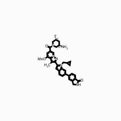 COc1cc(C(=O)N2C[C@H](N)C[C@@H](F)C2)cn2nc(-c3cc4ccc(-c5ccc6c(c5)CNC6=O)cc4n3CC3CC3)c(C)c12